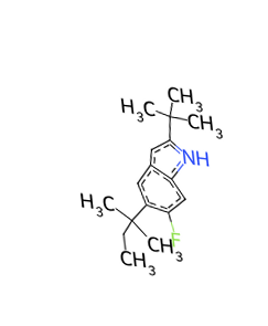 CCC(C)(C)c1cc2cc(C(C)(C)C)[nH]c2cc1F